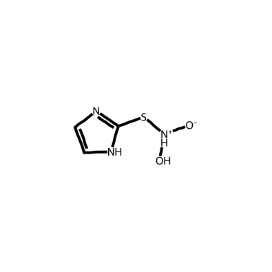 [O-][NH+](O)Sc1ncc[nH]1